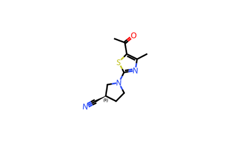 CC(=O)c1sc(N2CC[C@@H](C#N)C2)nc1C